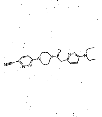 CCN(CC)c1ccc(CC(=O)N2CCN(c3ccc(C#N)nn3)CC2)nn1